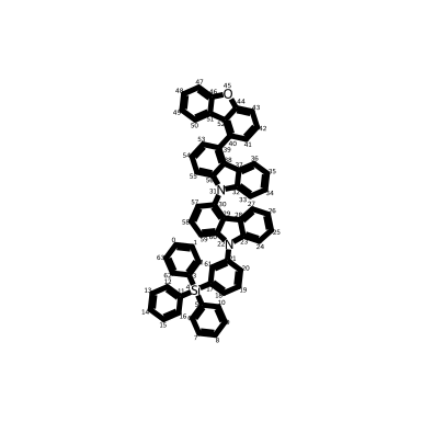 c1ccc([Si](c2ccccc2)(c2ccccc2)c2cccc(-n3c4ccccc4c4c(-n5c6ccccc6c6c(-c7cccc8oc9ccccc9c78)cccc65)cccc43)c2)cc1